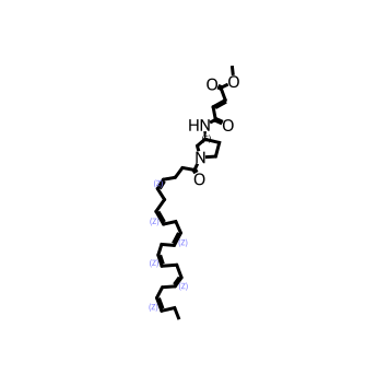 CC/C=C\C/C=C\C/C=C\C/C=C\C/C=C\C/C=C\CCC(=O)N1CC[C@H](NC(=O)C=CC(=O)OC)C1